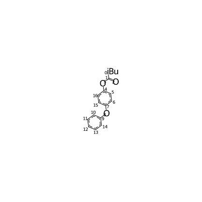 CCC(C)C(=O)Oc1ccc(Oc2ccccc2)cc1